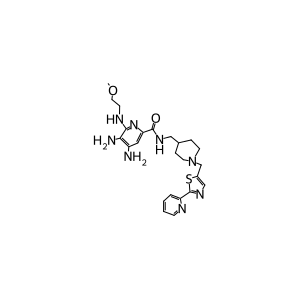 COCCNc1nc(C(=O)NCC2CCN(Cc3cnc(-c4ccccn4)s3)CC2)cc(N)c1N